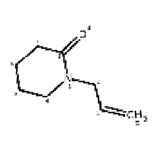 C=CCN1CCCCC1=O